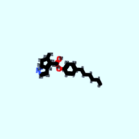 CCCCCCc1ccc(OC(=O)C2=C3C=CN=C3CC2C)cc1